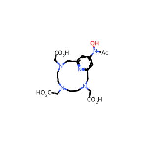 CC(=O)N(O)c1cc2nc(c1)CN(CC(=O)O)CCN(CC(=O)O)CCN(CC(=O)O)C2